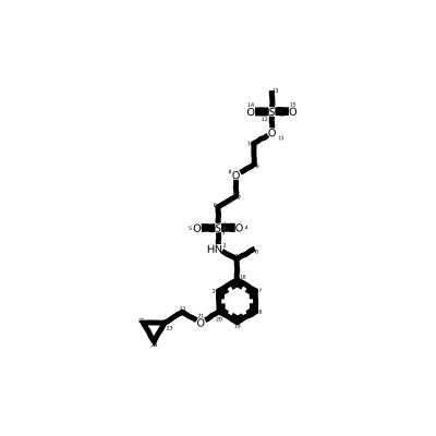 CC(NS(=O)(=O)CCOCCOS(C)(=O)=O)c1cccc(OCC2CC2)c1